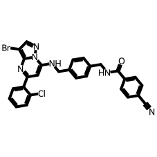 N#Cc1ccc(C(=O)NCc2ccc(CNc3cc(-c4ccccc4Cl)nc4c(Br)cnn34)cc2)cc1